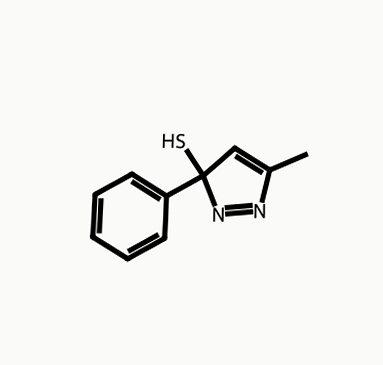 CC1=CC(S)(c2ccccc2)N=N1